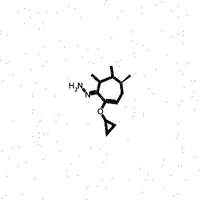 CC1/C(=N\N)C(OC2CC2)=CC[C@H](C)C1C